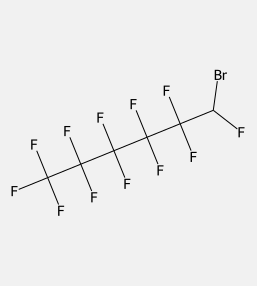 FC(Br)C(F)(F)C(F)(F)C(F)(F)C(F)(F)C(F)(F)F